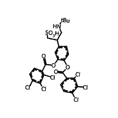 CC(C)(C)NCC(CS(=O)(=O)O)c1ccc(OC(=O)c2ccc(Cl)c(Cl)c2Cl)c(OC(=O)c2ccc(Cl)c(Cl)c2Cl)c1